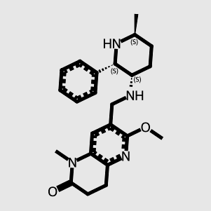 COc1nc2c(cc1CN[C@H]1CC[C@H](C)N[C@H]1c1ccccc1)N(C)C(=O)CC2